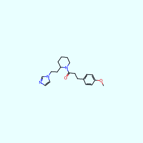 COc1ccc(CCC(=O)N2CCCCC2CCn2ccnc2)cc1